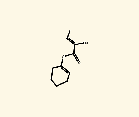 CC=C(C#N)C(=O)OC1=CCCCC1